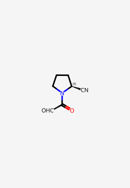 N#C[C@@H]1CCCN1C(=O)C=O